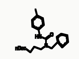 CCCCCCCCCCCCCN(Cc1ccccc1)C(=O)Nc1ccc(C)cc1